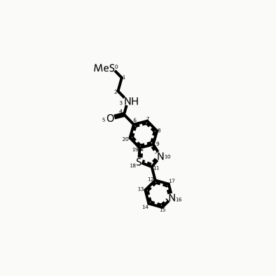 CSCCNC(=O)c1ccc2nc(-c3cccnc3)sc2c1